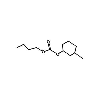 CCCCOC(=O)OC1CCCC(C)C1